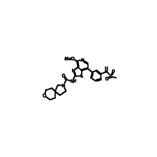 COc1ncc(-c2cccc(NS(C)(=O)=O)c2)c2sc(NC(=O)N3CCC4(CCOCC4)C3)nc12